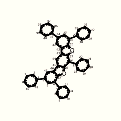 c1ccc(-c2cc(-c3ccccc3)c3oc4c(-c5ccccc5)c5oc6c(-c7ccccc7)cc(-c7ccccc7)cc6c5cc4c3c2)cc1